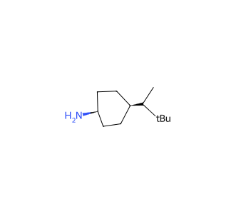 CC([C@H]1CC[C@@H](N)CC1)C(C)(C)C